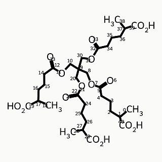 CC(CCCC(=O)OCC(COC(=O)CCCC(C)C(=O)O)(COC(=O)CCCC(C)C(=O)O)COC(=O)CCCC(C)C(=O)O)C(=O)O